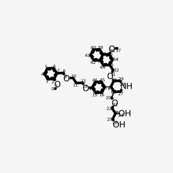 COc1ccccc1COCCCOc1ccc([C@H]2[C@H](COC[C@H](O)CO)CNC[C@@H]2OCc2cc(OC)c3ccccc3c2)cc1